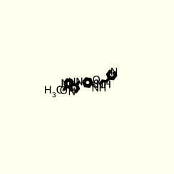 COc1nccc2c(Nc3ccc([S@](=N)(=O)NCCc4ccncc4)cc3)ccnc12